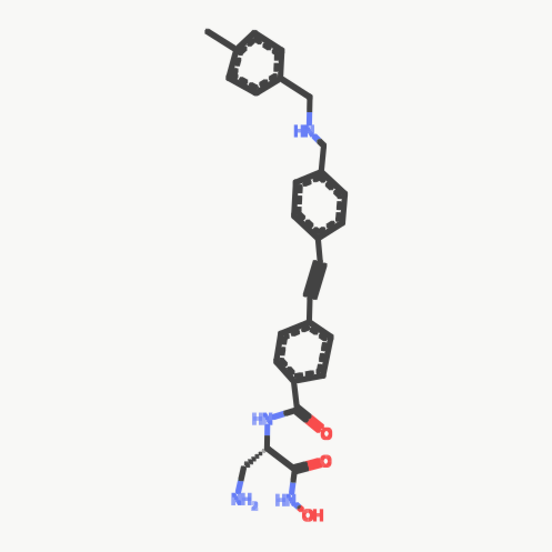 Cc1ccc(CNCc2ccc(C#Cc3ccc(C(=O)N[C@@H](CN)C(=O)NO)cc3)cc2)cc1